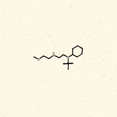 CSCCNCCN(C1CCCCC1)C(C)(C)C